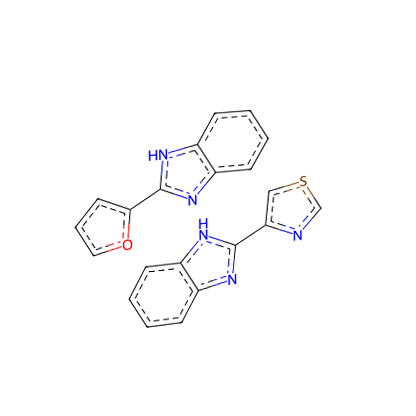 c1ccc2[nH]c(-c3cscn3)nc2c1.c1coc(-c2nc3ccccc3[nH]2)c1